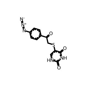 [N-]=[N+]=Nc1ccc(C(=O)CSc2c[nH]c(=O)[nH]c2=O)cc1